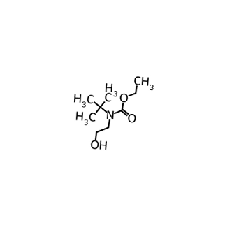 CCOC(=O)N(CCO)C(C)(C)C